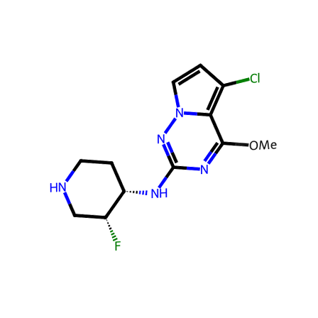 COc1nc(N[C@H]2CCNC[C@H]2F)nn2ccc(Cl)c12